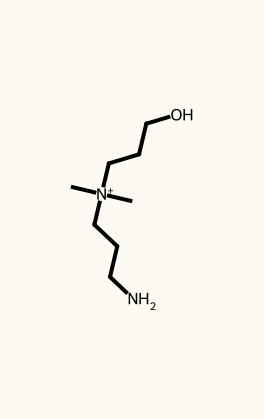 C[N+](C)(CCCN)CCCO